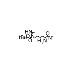 CC(=N)N(CCCC[C@H](N)C(=O)N(C)C)C(=O)OC(C)(C)C